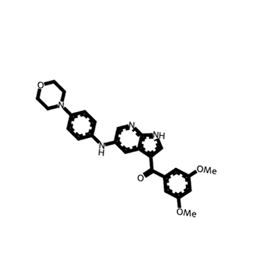 COc1cc(OC)cc(C(=O)c2c[nH]c3ncc(Nc4ccc(N5CCOCC5)cc4)cc23)c1